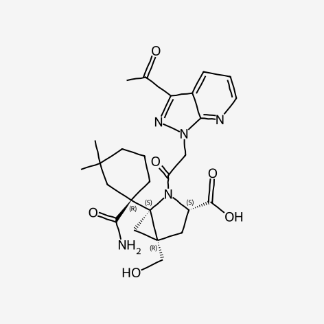 CC(=O)c1nn(CC(=O)N2[C@H](C(=O)O)C[C@@]3(CO)C[C@]23[C@@]2(C(N)=O)CCCC(C)(C)C2)c2ncccc12